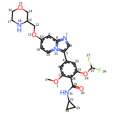 COc1cc(-c2cnc3cc(OCC4COCCN4)ccn23)cc(OC(F)F)c1C(=O)NC1CC1